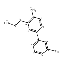 Nc1ccc(-c2cccc(F)c2)cc1CCO